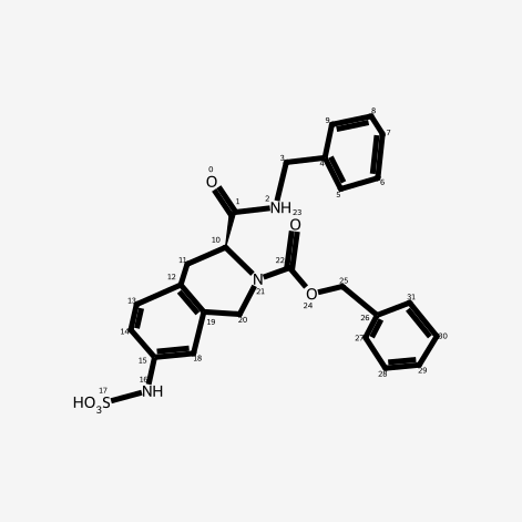 O=C(NCc1ccccc1)[C@@H]1Cc2ccc(NS(=O)(=O)O)cc2CN1C(=O)OCc1ccccc1